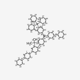 CC1(C)c2cc(-c3ccc(-c4ccccc4)cc3)ccc2-c2ccc(N(c3ccc(-c4ccccc4)cc3)c3ccc4c(c3)-c3ccccc3C4(c3ccccc3)c3ccccc3)cc21